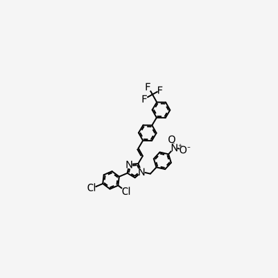 O=[N+]([O-])c1ccc(Cn2cc(-c3ccc(Cl)cc3Cl)nc2/C=C/c2ccc(-c3cccc(C(F)(F)F)c3)cc2)cc1